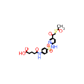 CC(=O)SCC(=O)c1ccc(NS(=O)(=O)c2ccc(NC(=O)CCCC(=O)O)cc2)nc1